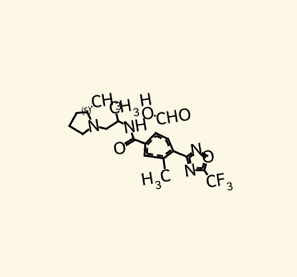 Cc1cc(C(=O)NC(C)CN2CCC[C@@H]2C)ccc1-c1noc(C(F)(F)F)n1.O=CO